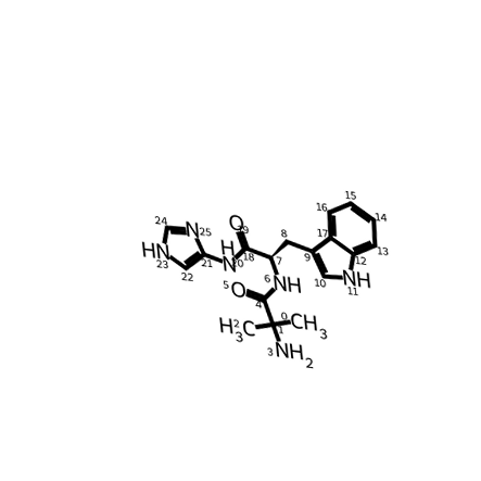 CC(C)(N)C(=O)N[C@H](Cc1c[nH]c2ccccc12)C(=O)Nc1c[nH]cn1